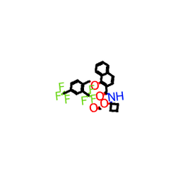 O=COC1(NC(=O)c2ccc3ccccc3c2OCc2ccc(C(F)(F)F)cc2C(F)(F)F)CCC1